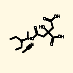 CC#N.CCN(CC)CC.O=C(O)CC(O)(CC(=O)O)C(=O)O